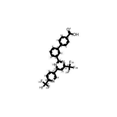 O=C(O)c1ccc(-c2cccc(-c3nc(-c4ccc(C(F)(F)F)nc4)cc(C(F)(F)F)n3)c2)cc1